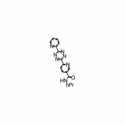 CCCNC(=O)c1ccc(-c2nnc(-c3ccccn3)nn2)nc1